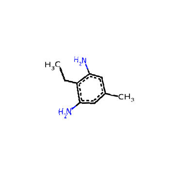 CCc1c(N)cc(C)cc1N